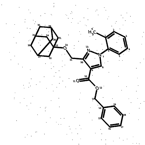 Cc1ccccc1-n1cc(C(=O)OCc2ccccc2)c(COC23CC4CC(CC(C4)C2)C3)n1